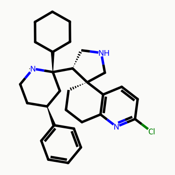 Clc1ccc2c(n1)CCC[C@]21CNC[C@H]1[C@]1(C2CCCCC2)C[C@@H](c2ccccc2)CC[N]1